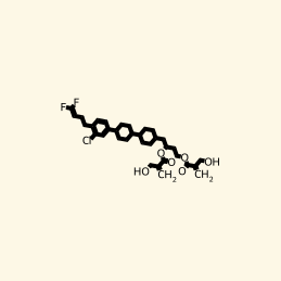 C=C(CO)C(=O)OCCC(CC1CCC(C2CCC(c3ccc(CCC=C(F)F)c(Cl)c3)CC2)CC1)OC(=O)C(=C)CO